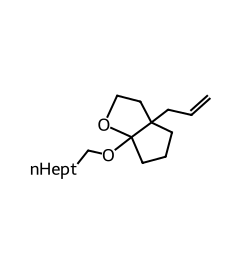 C=CCC12CCCC1(OCCCCCCCC)OCC2